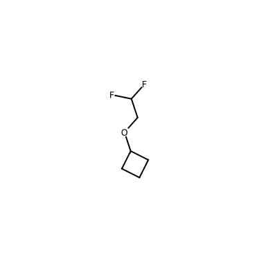 FC(F)CO[C]1CCC1